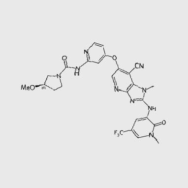 CO[C@@H]1CCN(C(=O)Nc2cc(Oc3cnc4nc(Nc5cc(C(F)(F)F)cn(C)c5=O)n(C)c4c3C#N)ccn2)C1